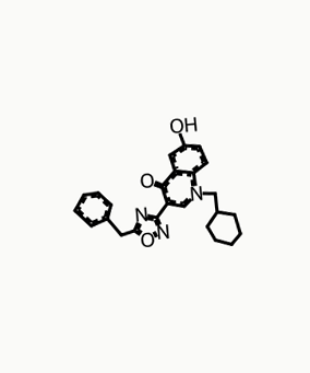 O=c1c(-c2noc(Cc3ccccc3)n2)cn(CC2CCCCC2)c2ccc(O)cc12